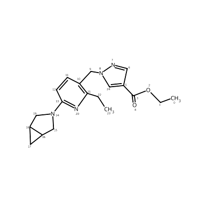 CCOC(=O)c1cnn(Cc2ccc(N3CC4CC4C3)nc2CC)c1